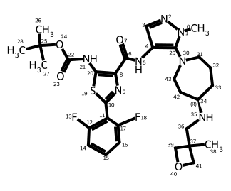 Cn1ncc(NC(=O)c2nc(-c3c(F)cccc3F)sc2NC(=O)OC(C)(C)C)c1N1CCC[C@@H](NCC2(C)COC2)CC1